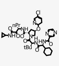 CCC[C@H](NC(=O)[C@@H]1C[C@@H](OC2CC=C(Cl)C=N2)CN1C(=O)[C@@H](NC(=O)[C@@H](NC(=O)c1cnccn1)C1CCCCC1)C(C)(C)C)C(=O)C(=O)NC1CC1